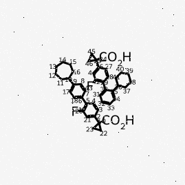 O=C(O)C1(c2ccc(-c3ccc(C4CCCCCC4)cc3)c(F)c2)CC1.O=C(O)C1(c2ccc(-c3ccccc3C3CCCCC3)c(F)c2)CC1